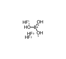 F.F.F.OB(O)O